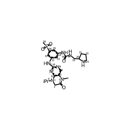 CC(C)N1CC(=O)N(C)c2cnc(Nc3cc(NC(=O)NCC4CCCN4)cc(S(C)(=O)=O)c3)nc21